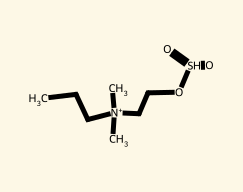 CCC[N+](C)(C)CCO[SH](=O)=O